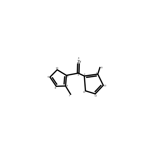 CC1=C([C](=[Zr])C2=C(C)C=CC2)CC=C1